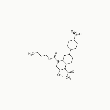 CCCCOC(=O)N1C[C@H](C)N(C(C)=O)C2CCC(C3CCC([SH](=O)=O)CC3)CC21